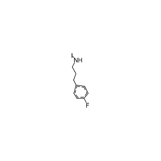 Fc1ccc(CCCNI)cc1